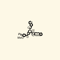 CNC(=O)C(CCCc1ccccc1)NC(=O)C1CN(C(=O)Cc2ccc3ncccc3c2)CC2CN(C(=O)c3ccc(OC(C)C)c(OC)c3)CC21